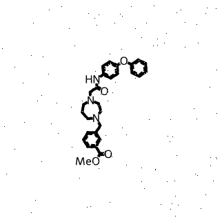 COC(=O)c1cccc(CN2CCCN(CC(=O)Nc3ccc(Oc4ccccc4)cc3)CC2)c1